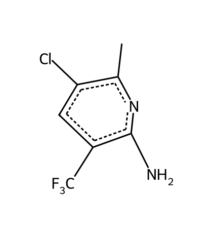 Cc1nc(N)c(C(F)(F)F)cc1Cl